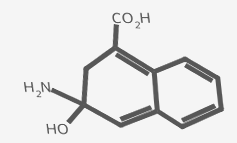 NC1(O)C=c2ccccc2=C(C(=O)O)C1